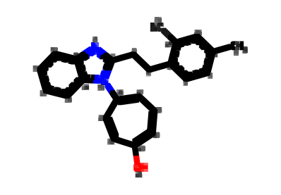 Cc1ccc(CCc2nc3ccccc3n2C2=CC=C=C(O)C=C2)c(C#N)c1